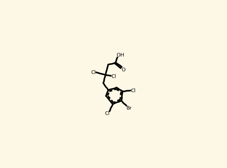 O=C(O)CC(Cl)(Cl)Cc1cc(Cl)c(Br)c(Cl)c1